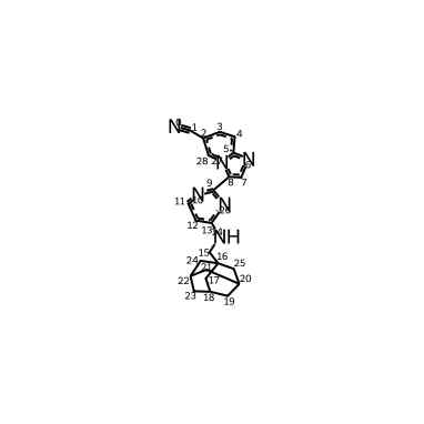 N#Cc1ccc2ncc(-c3nccc(NCC45CC6CC(CC(C6)C4)C5)n3)n2c1